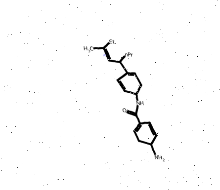 CCCC(/C=C(/C)CC)C1=CCC(NC(=O)C2=CCC(N)C=C2)C=C1